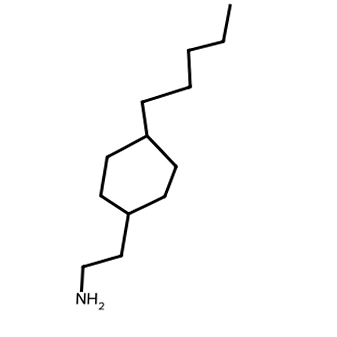 CCCCCC1CCC(CCN)CC1